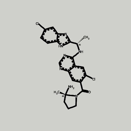 C[C@H](Nc1ncnc2cc(C(=O)N3CCC[C@]3(C)N)c(Cl)cc12)c1nc2cc(Cl)ccc2[nH]1